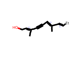 CC/C=C/C(C)=C/C#C/C(C)=C/CO